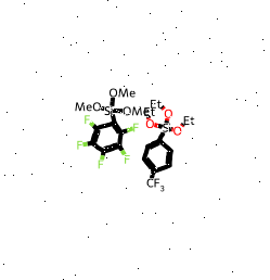 CCO[Si](OCC)(OCC)c1ccc(C(F)(F)F)cc1.CO[Si](OC)(OC)c1c(F)c(F)c(F)c(F)c1F